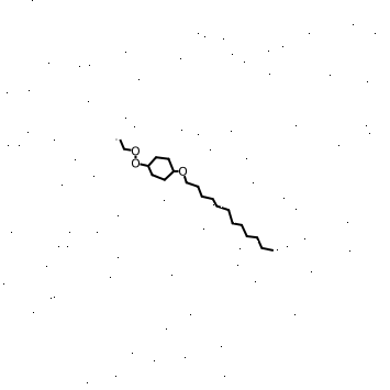 [CH2]COOC1CCC(OCCCCCCCCCCCC)CC1